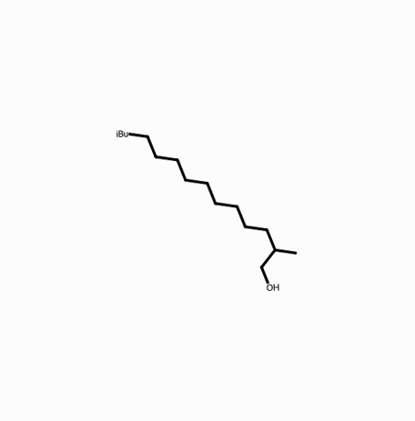 CCC(C)CCCCCCCCCC(C)CO